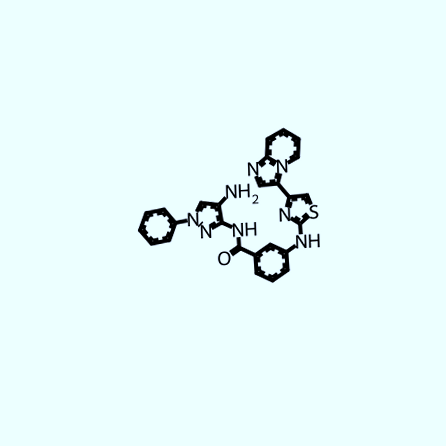 Nc1cn(-c2ccccc2)nc1NC(=O)c1cccc(Nc2nc(-c3cnc4ccccn34)cs2)c1